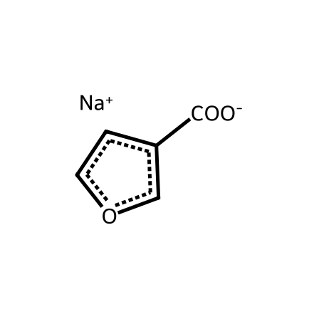 O=C([O-])c1ccoc1.[Na+]